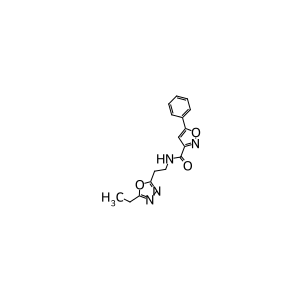 CCc1nnc(CCNC(=O)c2cc(-c3ccccc3)on2)o1